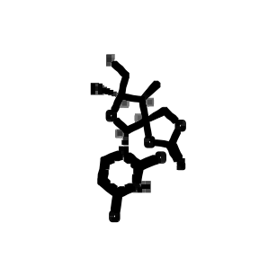 CC[C@@]1(CF)O[C@@H](n2ccc(=O)[nH]c2=O)[C@]2(COC(=S)O2)[C@@H]1C